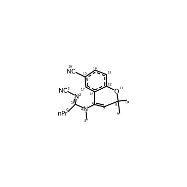 CCCC(=NC#N)N(C)C1=CC(C)(C)Oc2ccc(C#N)cc21